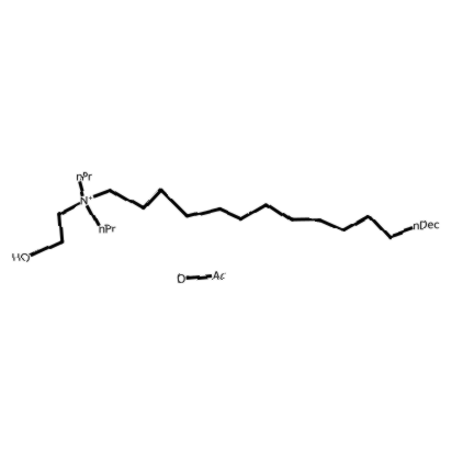 CC(=O)[O-].CCCCCCCCCCCCCCCCCCCCCC[N+](CCC)(CCC)CCO